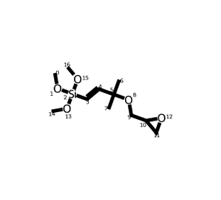 CO[Si](C=CC(C)(C)OCC1CO1)(OC)OC